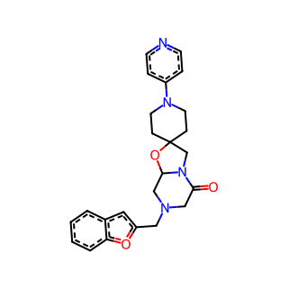 O=C1CN(Cc2cc3ccccc3o2)CC2OC3(CCN(c4ccncc4)CC3)CN12